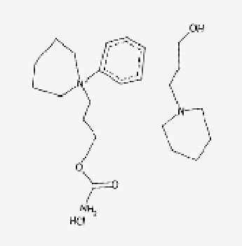 Cl.NC(=O)OCCC[N+]1(c2ccccc2)CCCCC1.OCCCN1CCCCC1